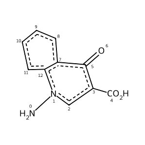 Nn1cc(C(=O)O)c(=O)c2ccccc21